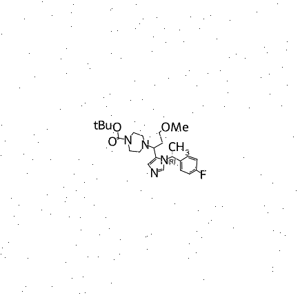 COCCC(c1cncn1[C@H](C)c1ccc(F)cc1)N1CCN(C(=O)OC(C)(C)C)CC1